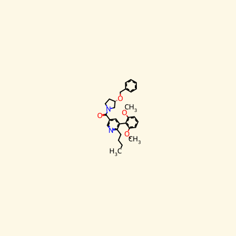 CCCCc1ncc(C(=O)N2CC[C@H](OCc3ccccc3)C2)cc1-c1c(OC)cccc1OC